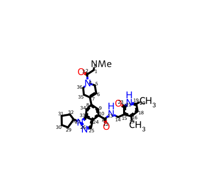 CNCC(=O)N1CC=C(c2cc(C(=O)NCc3c(C)cc(C)[nH]c3=O)c3cnn(C4CCCC4)c3c2)CC1